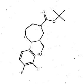 CC(C)(C)OC(=O)N1CCO[C@@H](c2ccc(F)c(Cl)c2)[C@H](CO)C1